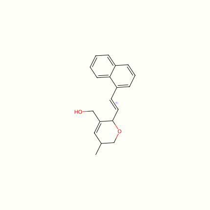 CC1C=C(CO)C(/C=C/c2cccc3ccccc23)OC1